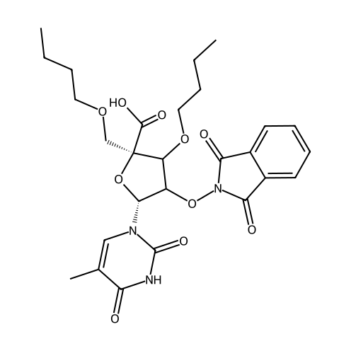 CCCCOC[C@@]1(C(=O)O)O[C@@H](n2cc(C)c(=O)[nH]c2=O)C(ON2C(=O)c3ccccc3C2=O)C1OCCCC